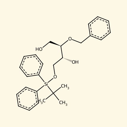 CC(C)(C)[Si](OC[C@@H](O)[C@@H](CO)OCc1ccccc1)(c1ccccc1)c1ccccc1